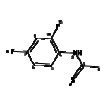 CC(=S)Nc1ccc(F)cc1F